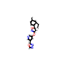 Cc1ccc2c(c1)CC[C@@]21CC(Oc2cncc(-c3nnco3)c2)=NO1